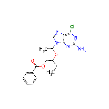 CCC(COC(=O)c1ccccc1)OC(C)n1cnc2c(Cl)nc(N)nc21